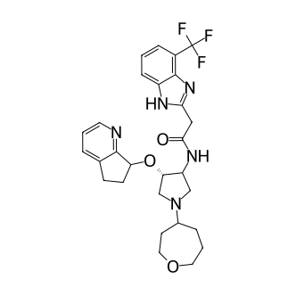 O=C(Cc1nc2c(C(F)(F)F)cccc2[nH]1)NC1CN(C2CCCOCC2)C[C@@H]1OC1CCc2cccnc21